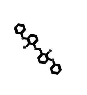 Brc1c(Oc2ccccc2)cccc1SSc1cccc(Oc2ccccc2)c1Br